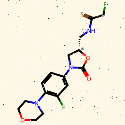 O=C1O[C@@H](CNC(=S)CF)CN1c1ccc(N2CCOCC2)c(F)c1